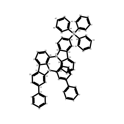 c1ccc(-c2cccc(-n3c4cc(-c5ccccc5)ccc4c4cccc(-n5c6ccccc6c6cc([Si](c7ccccc7)(c7ccccc7)c7ccccc7)ccc65)c43)c2)cc1